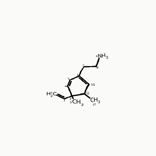 C=CC1(C)C=CC(CCN)=CC1C